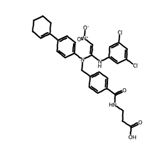 O=C(O)CCNC(=O)c1ccc(CN(/C(=C\[N+](=O)[O-])Nc2cc(Cl)cc(Cl)c2)c2ccc(C3=CCCCC3)cc2)cc1